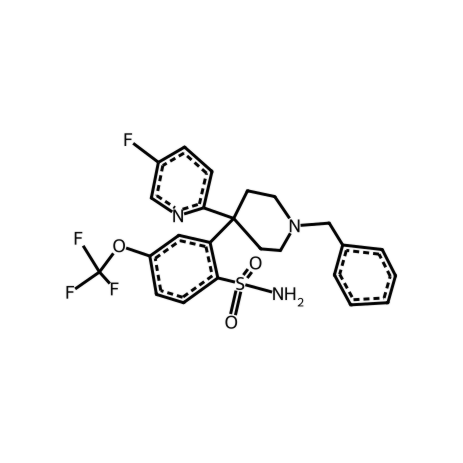 NS(=O)(=O)c1ccc(OC(F)(F)F)cc1C1(c2ccc(F)cn2)CCN(Cc2ccccc2)CC1